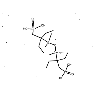 CCC(CC)(CP(=O)(O)O)[Si](C)(C)O[Si](C)(C)C(CC)(CC)CP(=O)(O)O